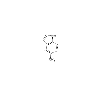 Cc1[c]c2cc[nH]c2cc1